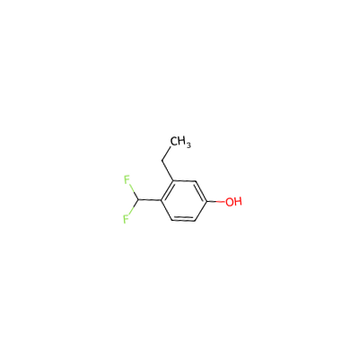 CCc1cc(O)ccc1C(F)F